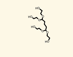 OCCOC(CCCC(OCCO)OCCO)OCCO